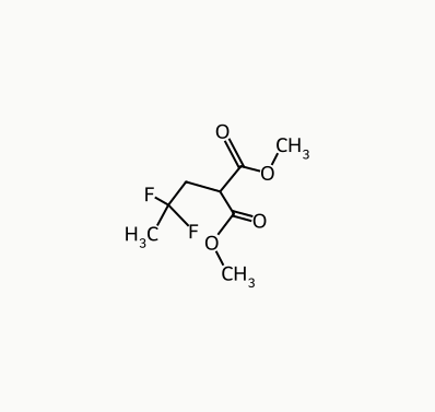 COC(=O)C(CC(C)(F)F)C(=O)OC